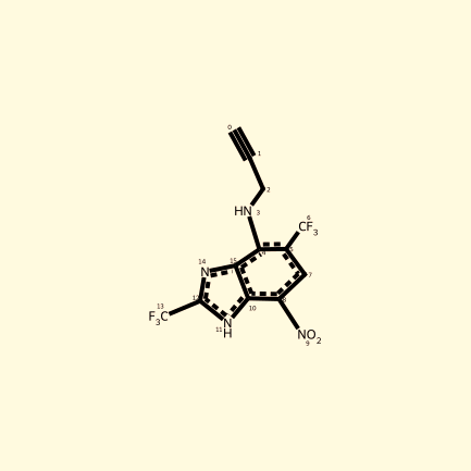 C#CCNc1c(C(F)(F)F)cc([N+](=O)[O-])c2[nH]c(C(F)(F)F)nc12